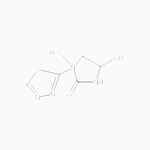 C[N+]1(c2nncs2)CC(O)NC1=O